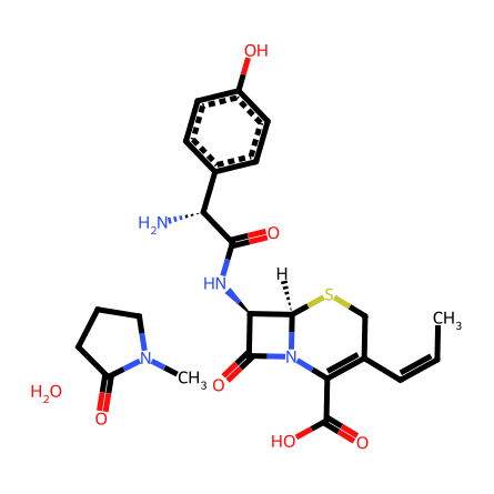 C/C=C\C1=C(C(=O)O)N2C(=O)[C@@H](NC(=O)[C@H](N)c3ccc(O)cc3)[C@H]2SC1.CN1CCCC1=O.O